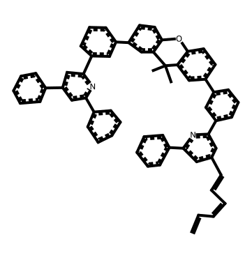 C=C/C=C\C=C\c1cc(-c2ccccc2)nc(-c2cccc(-c3ccc4c(c3)C(C)(C)c3cc(-c5cccc(-c6cc(-c7ccccc7)cc(-c7ccccc7)n6)c5)ccc3O4)c2)c1